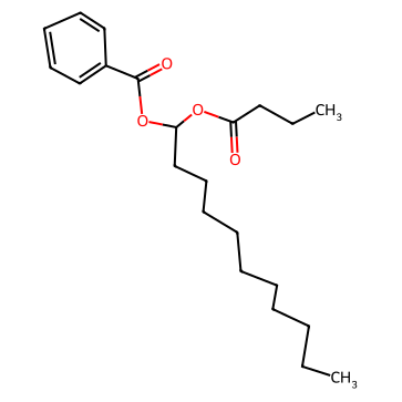 CCCCCCCCCCC(OC(=O)CCC)OC(=O)c1ccccc1